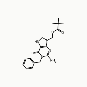 CC(C)(C)C(=O)OCN1CNc2c1nc(N)n(Cc1ccccc1)c2=O